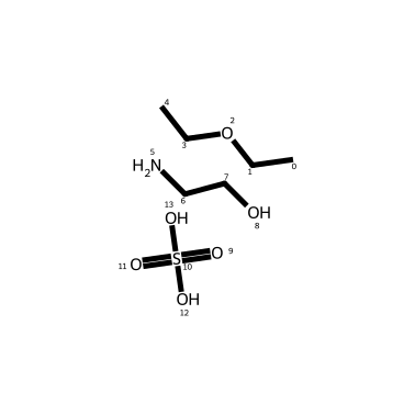 CCOCC.NCCO.O=S(=O)(O)O